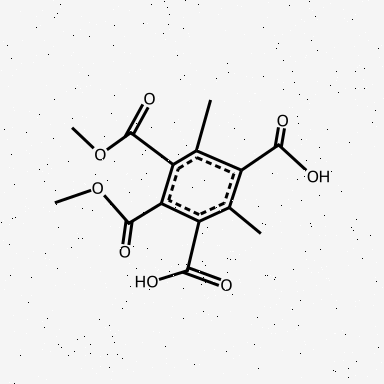 COC(=O)c1c(C)c(C(=O)O)c(C)c(C(=O)O)c1C(=O)OC